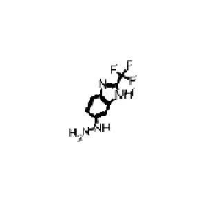 NNc1ccc2nc(C(F)(F)F)[nH]c2c1